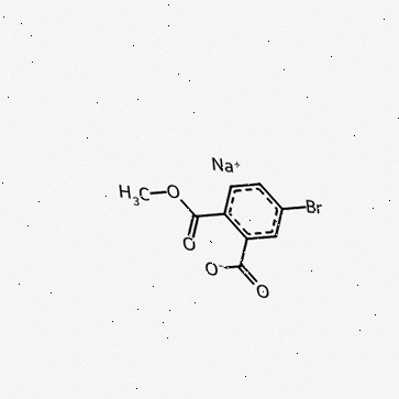 COC(=O)c1ccc(Br)cc1C(=O)[O-].[Na+]